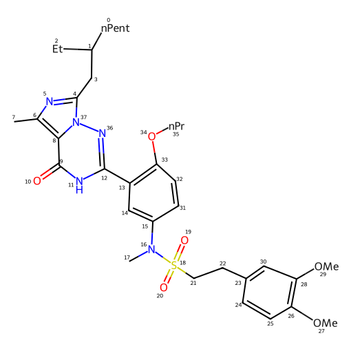 CCCCCC(CC)Cc1nc(C)c2c(=O)[nH]c(-c3cc(N(C)S(=O)(=O)CCc4ccc(OC)c(OC)c4)ccc3OCCC)nn12